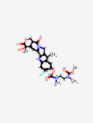 CC[C@@]1(O)C(=O)OCc2c1cc1n(c2=O)Cc2c-1nc1cc(F)c(OC(=O)N(C)CCN(C)C(=O)OC(C)(C)C)cc1c2C